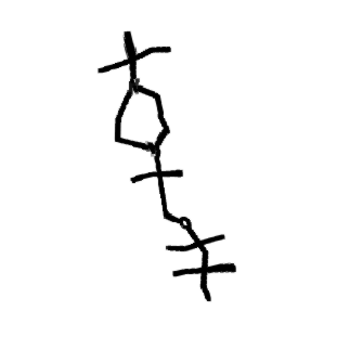 CC(C)(C)N1CCN(C(C)(C)COC(C)(C)C(C)(C)C)CC1